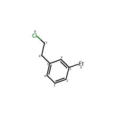 CCc1cccc(C[CH]Cl)c1